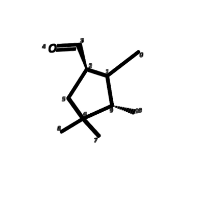 CC1[C@H](C=O)CC(C)(C)[C@H]1C